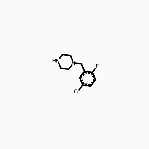 Fc1ccc(Cl)cc1CN1CCNCC1